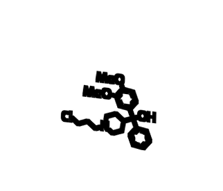 COc1ccc(C(O)(c2ccccc2)C2CCN(CCCCl)CC2)cc1OC